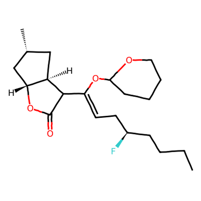 CCCC[C@@H](F)CC=C(OC1CCCCO1)C1C(=O)O[C@@H]2C[C@H](C)C[C@@H]12